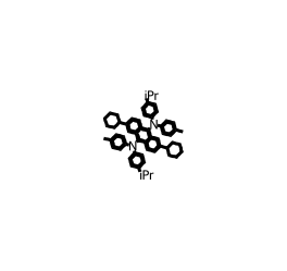 Cc1ccc(N(c2ccc(C(C)C)cc2)c2c3ccc(C4CCCCC4)cc3c(N(c3ccc(C)cc3)c3ccc(C(C)C)cc3)c3ccc(C4CCCCC4)cc23)cc1